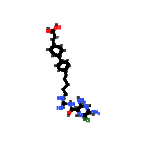 N=C(NCCCCCc1ccc(-c2ccc(CCC(=O)O)cc2)cc1)NC(=O)c1nc(Cl)c(N)nc1N